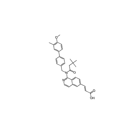 COc1ccc(-c2ccc(CN(C(=O)CC(C)(C)C)c3nccc4cc(C=CC(=O)O)ccc34)cc2)cc1C